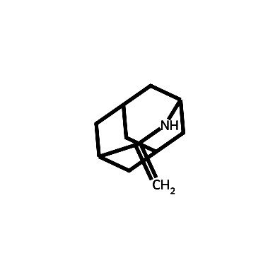 C=C1NC2CC3CC(C2)CC1C3